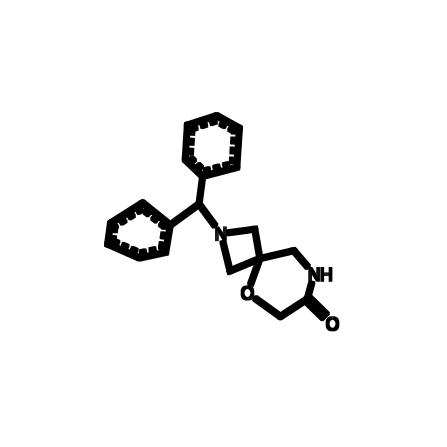 O=C1COC2(CN1)CN(C(c1ccccc1)c1ccccc1)C2